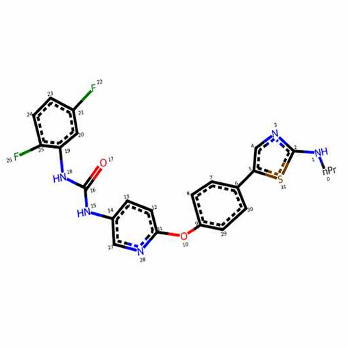 CCCNc1ncc(-c2ccc(Oc3ccc(NC(=O)Nc4cc(F)ccc4F)cn3)cc2)s1